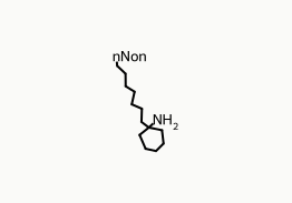 CCCCCCCCCCCCCCCCC1(N)CCCCC1